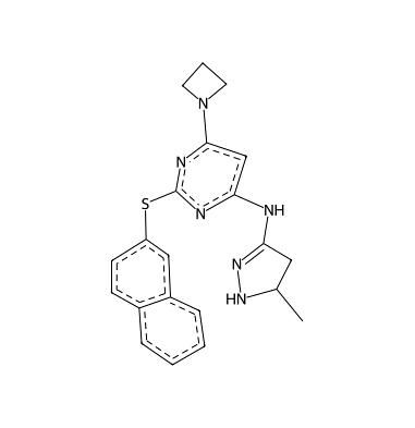 CC1CC(Nc2cc(N3CCC3)nc(Sc3ccc4ccccc4c3)n2)=NN1